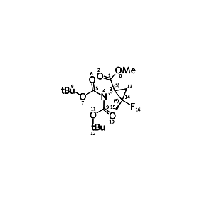 COC(=O)[C@@]1(N(C(=O)OC(C)(C)C)C(=O)OC(C)(C)C)C[C@]1(C)F